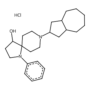 Cl.OC1CCN(c2ccccc2)C12CCN(C1CC3CCCCCC3C1)CC2